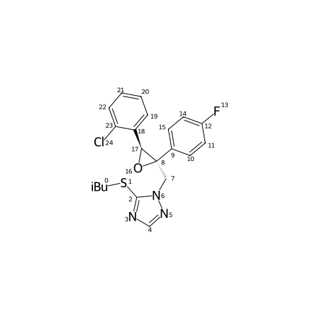 CCC(C)Sc1ncnn1C[C@]1(c2ccc(F)cc2)O[C@H]1c1ccccc1Cl